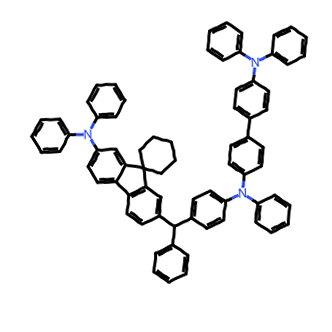 c1ccc(C(c2ccc(N(c3ccccc3)c3ccc(-c4ccc(N(c5ccccc5)c5ccccc5)cc4)cc3)cc2)c2ccc3c(c2)C2(CCCCC2)c2cc(N(c4ccccc4)c4ccccc4)ccc2-3)cc1